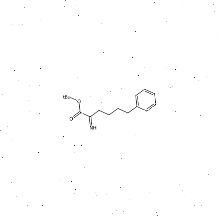 CC(C)(C)OC(=O)C(=N)CCCCc1ccccc1